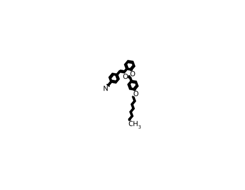 CCCCCCCCOc1ccc(C(=O)Oc2ccccc2C=Cc2ccc(C#N)cc2)cc1